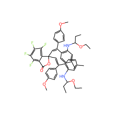 CCOC(CC)Nc1cc(C)ccc1C(=CC1(C=C(c2ccc(OC)cc2)c2ccc(C)cc2NC(CC)OCC)OC(=O)c2c(F)c(F)c(F)c(F)c21)c1ccc(OC)cc1